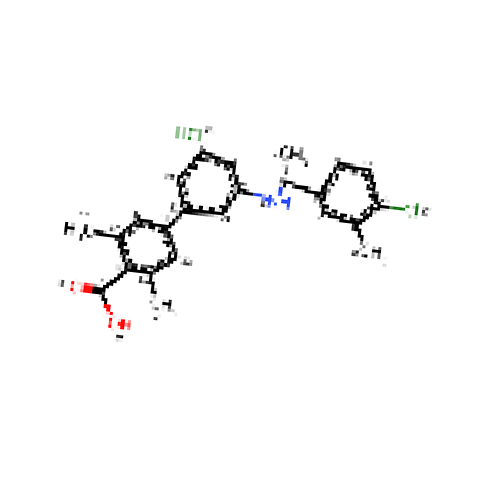 Cc1cc([C@@H](C)Nc2cccc(-c3cc(C)c(C(=O)O)c(C)c3)c2)ccc1Cl.Cl